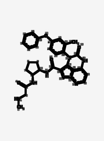 CNCC(=O)N[C@H]1CCC[C@H]1NC(=O)c1sc2nccc3c2c1N(c1ccc(Oc2ccccc2)cc1C)C(=O)N3